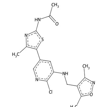 CC(=O)Nc1nc(C)c(-c2cnc(Cl)c(NCc3c(C)noc3C)c2)s1